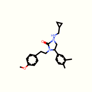 COc1ccc(CCN2C(=O)N(NCC3CC3)CC2c2ccc(C)c(C)c2)cc1